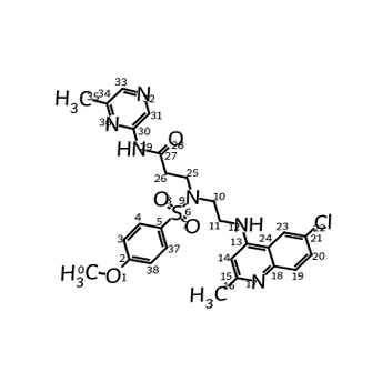 COc1ccc(S(=O)(=O)N(CCNc2cc(C)nc3ccc(Cl)cc23)CCC(=O)Nc2cncc(C)n2)cc1